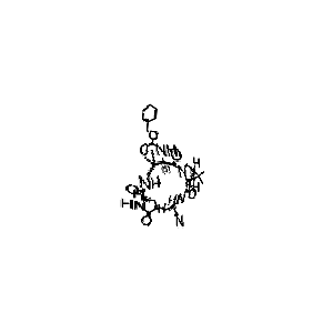 CC1(C)CNC(=O)[C@@H]2C[C@H](C[C@H](C#N)NC(=O)[C@@H]3[C@@H]4[C@H](CN3C(=O)[C@H]1NC(=O)OCc1ccccc1)C4(C)C)C(=O)N2